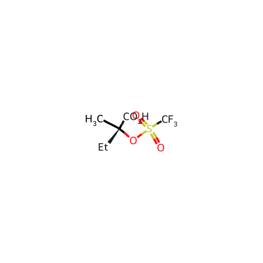 CC[C@](C)(OS(=O)(=O)C(F)(F)F)C(=O)O